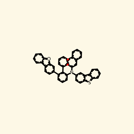 c1ccc(-c2c(-c3ccc4c(c3)oc3ccccc34)cccc2N(c2ccc3ccccc3c2)c2ccc3sc4ccccc4c3c2)cc1